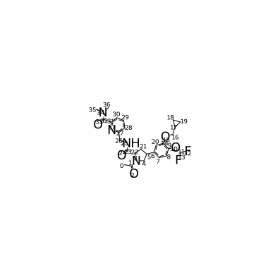 CC(=O)N1CC(c2ccc(OC(F)F)c(OCC3CC3)c2)C[C@H]1C(=O)NCc1cccc(C(=O)N(C)C)n1